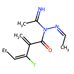 C=C(C(=O)N(/N=C\C)C(C)=N)/C(F)=C\CC